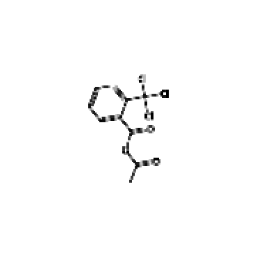 CC(=O)OC(=O)c1ccccc1C(Cl)(Cl)Cl